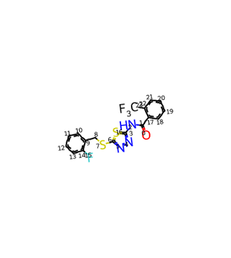 O=C(Nc1nnc(SCc2ccccc2F)s1)c1ccccc1C(F)(F)F